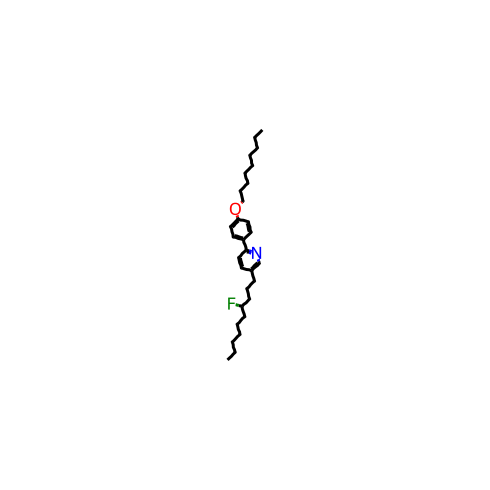 CCCCCCCCCOc1ccc(-c2ccc(CCCC(F)CCCCCC)cn2)cc1